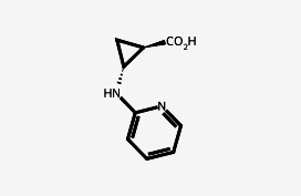 O=C(O)[C@@H]1C[C@H]1Nc1ccccn1